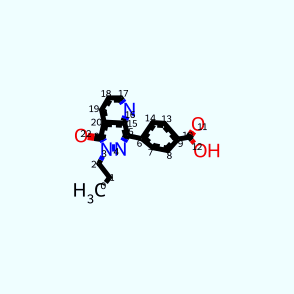 CCCn1nc(-c2ccc(C(=O)O)cc2)c2ncccc2c1=O